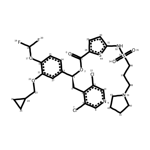 O=C(O[C@@H](Cc1c(Cl)cncc1Cl)c1ccc(OC(F)F)c(OCC2CC2)c1)c1ccc(NS(=O)(=O)CCCN2CCCC2)s1